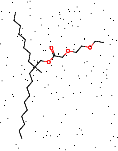 CCCCCCCCCCC(C)(CCCCCCCC)COC(=O)COCCOCC